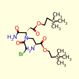 C[Si](C)(C)CCOC(=O)C[C@@H](C(N)=O)N(C[C@@H](N)C(=O)OCC[Si](C)(C)C)C(=O)CBr